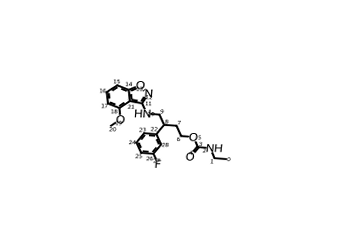 CCNC(=O)OCCC(CNc1noc2cccc(OC)c12)c1cccc(F)c1